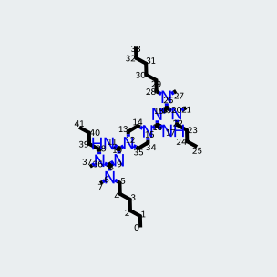 CCCCCCN(C)/C(=N/C(=N)N1CCN(C(=N)/N=C(\N(C)CCCC)N(C)CCCCCC)CC1)N(C)CCCC